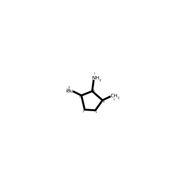 CCC(C)C1CCC(C)C1N